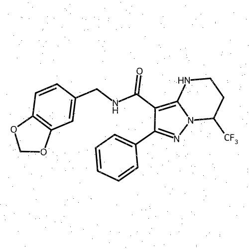 O=C(NCc1ccc2c(c1)OCO2)c1c(-c2ccccc2)nn2c1NCCC2C(F)(F)F